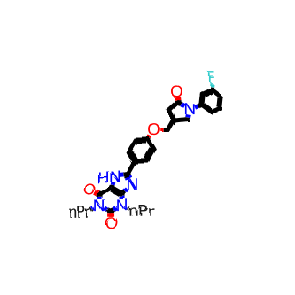 CCCn1c(=O)c2[nH]c(-c3ccc(OCC4CC(=O)N(c5cccc(F)c5)C4)cc3)nc2n(CCC)c1=O